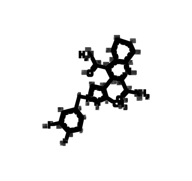 Cc1nn(Cc2ccc(F)c(F)c2)cc1-c1c(C(N)=O)nc2ccccc2c1C(N)=O